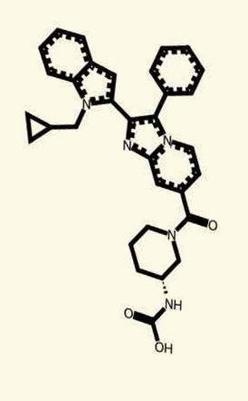 O=C(O)N[C@@H]1CCCN(C(=O)c2ccn3c(-c4ccccc4)c(-c4cc5ccccc5n4CC4CC4)nc3c2)C1